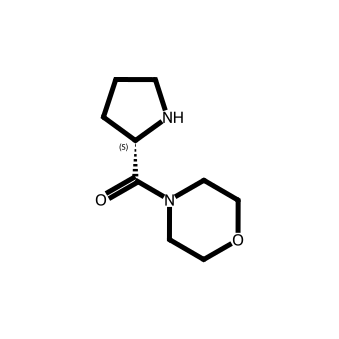 O=C([C@@H]1CCCN1)N1CCOCC1